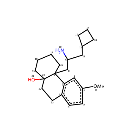 COc1ccc2c(c1)C1(CC(N)CC3CCC3)CCCCC1(O)CC2